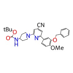 COc1ccc(-c2cc(C#N)cc(N3CCC(NC(=O)OC(C)(C)C)CC3)n2)cc1OCc1ccccc1